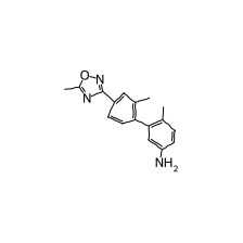 Cc1nc(-c2ccc(-c3cc(N)ccc3C)c(C)c2)no1